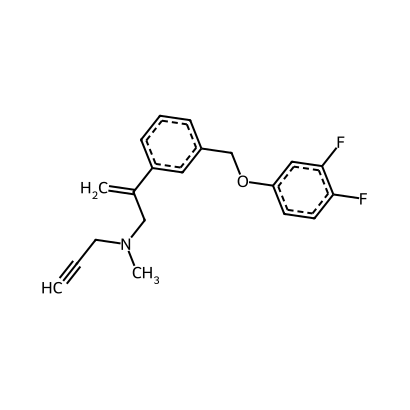 C#CCN(C)CC(=C)c1cccc(COc2ccc(F)c(F)c2)c1